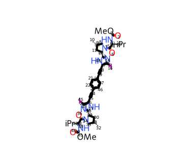 COC(=O)N[C@H](C(=O)N1C[C@@H](C)C[C@H]1c1nc(I)c(C#Cc2ccc(C#Cc3[nH]c([C@@H]4C[C@H](C)CN4C(=O)[C@@H](NC(=O)OC)C(C)C)nc3I)cc2)[nH]1)C(C)C